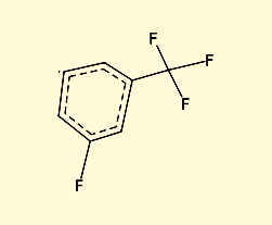 Fc1c[c]cc(C(F)(F)F)c1